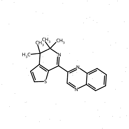 CC1(C)N=C(c2cnc3ccccc3n2)c2sccc2C1(C)C